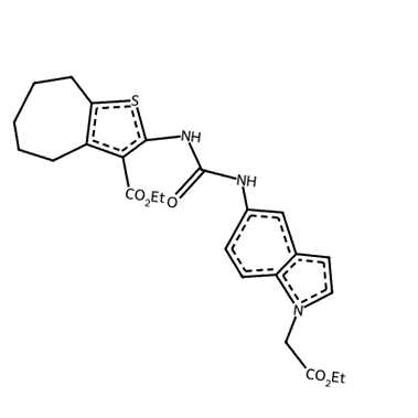 CCOC(=O)Cn1ccc2cc(NC(=O)Nc3sc4c(c3C(=O)OCC)CCCCC4)ccc21